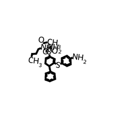 CCCCNC(C)=O.Nc1ccc(SC2=CC(S(N)(=O)=O)=CCC2c2ccccc2)cc1